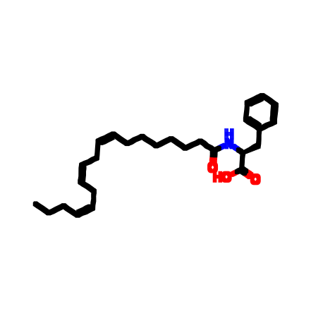 CCC/C=C\C/C=C\C/C=C\CCCCCCC(=O)N[C@@H](Cc1ccccc1)C(=O)O